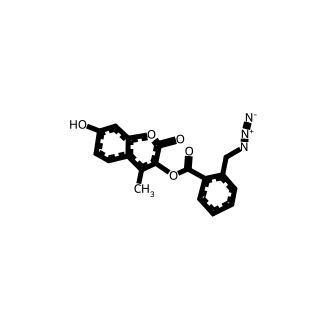 Cc1c(OC(=O)c2ccccc2CN=[N+]=[N-])c(=O)oc2cc(O)ccc12